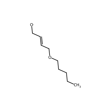 CCCCCOCC=CC[O]